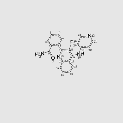 NC(=O)c1ccccc1-c1nc2ccccc2c(Nc2ccncc2)c1F